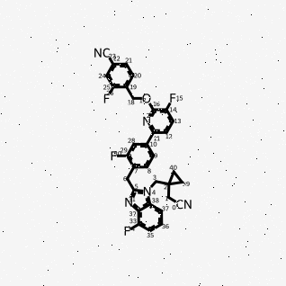 N#CCC1(Cn2c(Cc3ccc(-c4ccc(F)c(OCc5ccc(C#N)cc5F)n4)cc3F)nc3c(F)cccc32)CC1